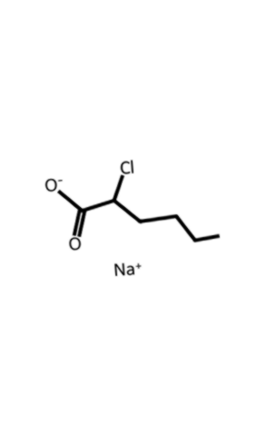 CCCCC(Cl)C(=O)[O-].[Na+]